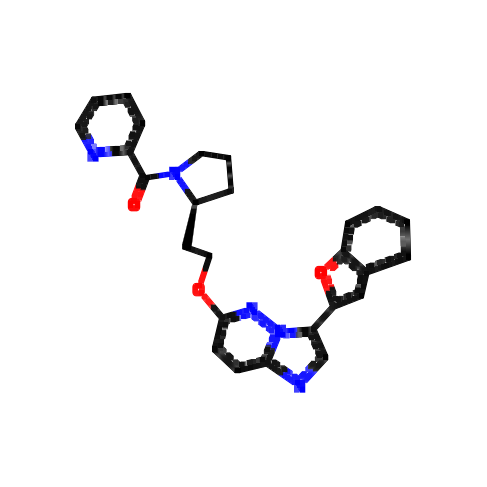 O=C(c1ccccn1)N1CCC[C@H]1CCOc1ccc2ncc(-c3cc4ccccc4o3)n2n1